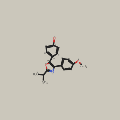 COc1ccc(-c2nc(C(C)C)oc2-c2ccc(O)cc2)cc1